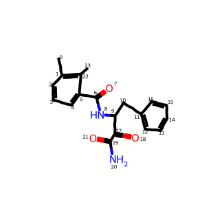 Cc1cccc(C(=O)NC(Cc2ccccc2)C(=O)C(N)=O)c1C